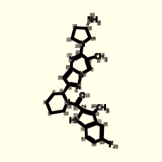 Cc1cn2nc([C@@H]3CCCCN3C(=O)c3[nH]c4ccc(F)cc4c3C)cc2nc1N1CC[C@H](N)C1